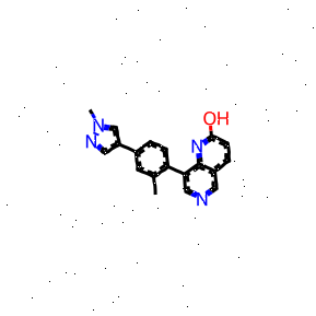 Cc1cc(-c2cnn(C)c2)ccc1-c1cncc2ccc(O)nc12